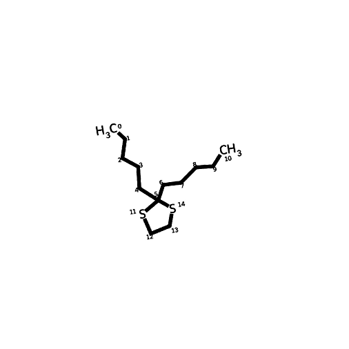 CCCCCC1(CCCCC)SCCS1